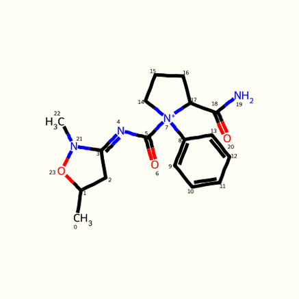 CC1CC(=NC(=O)[N+]2(c3ccccc3)CCCC2C(N)=O)N(C)O1